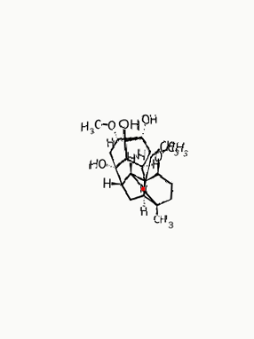 CCN1C[C@]2(C)CC[C@H](OC)[C@@]34[C@@H]5C[C@]6(O)[C@@H](OC)C[C@@](O)([C@H]5[C@H]6O)[C@@H](C[C@H]23)[C@@H]14